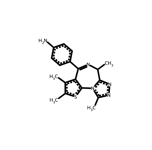 Cc1sc2c(c1C)C(c1ccc(N)cc1)=NC(C)c1nnc(C)n1-2